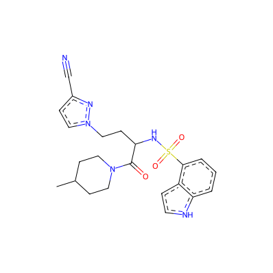 CC1CCN(C(=O)C(CCn2ccc(C#N)n2)NS(=O)(=O)c2cccc3[nH]ccc23)CC1